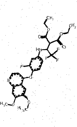 CCOC(=O)C(C(=O)OCC)C(Nc1ccc(Oc2ccnc3cc(OC)c(OC)cc23)c(F)c1)C(F)(F)F